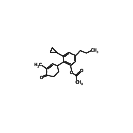 CCCc1cc(OC(C)=O)c(C2C=C(C)C(=O)CC2)c(C2CC2)c1